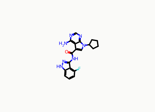 Nc1ncnc2c1c(C(=O)Nc1n[nH]c3cccc(F)c13)cn2C1CCCC1